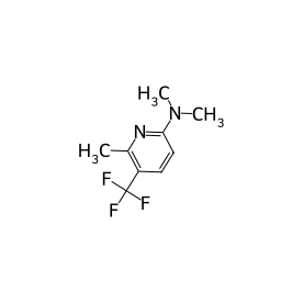 Cc1nc(N(C)C)ccc1C(F)(F)F